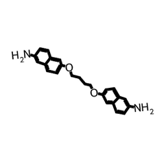 Nc1ccc2cc(OCCCCOc3ccc4cc(N)ccc4c3)ccc2c1